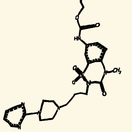 CCOC(=O)Nc1ccc2c(c1)S(=O)(=O)N(CCCN1CCN(c3ncccn3)CC1)C(=O)N2C